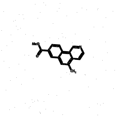 COC(=O)c1ccc2c(c1)cc(C)c1ccncc12